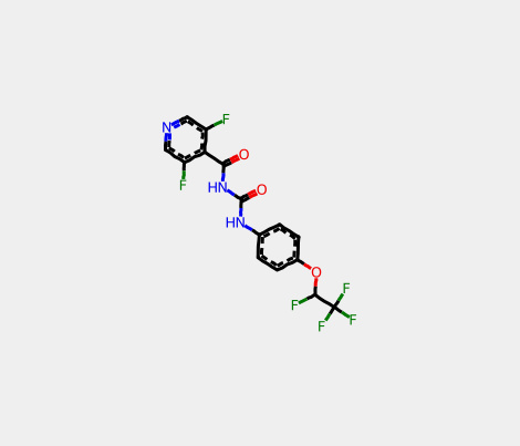 O=C(NC(=O)c1c(F)cncc1F)Nc1ccc(OC(F)C(F)(F)F)cc1